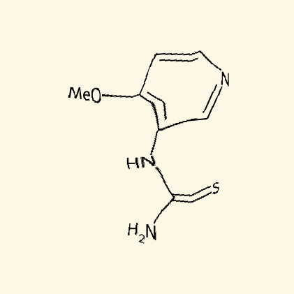 COc1ccncc1NC(N)=S